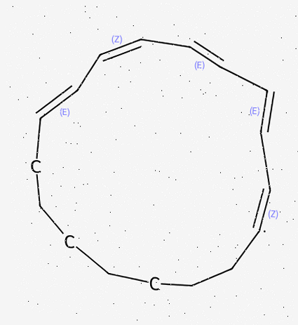 [C]1=C/C=C/C=C/C=C\C=C\CCCCCCC\1